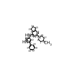 CC1CCN(c2nc3c(c(Nc4cc(-c5ccccc5)[nH]n4)n2)CCC3)CC1